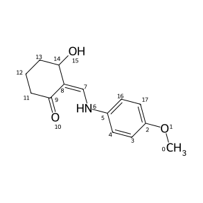 COc1ccc(N/C=C2\C(=O)CCCC2O)cc1